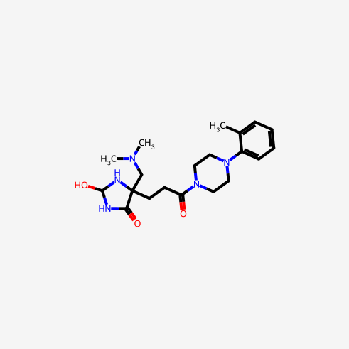 Cc1ccccc1N1CCN(C(=O)CCC2(CN(C)C)NC(O)NC2=O)CC1